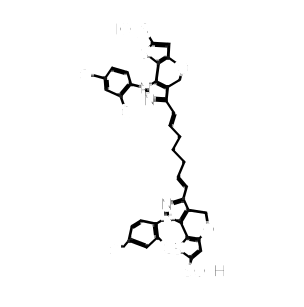 O=S(=O)(O)c1cc2c(s1)-c1c(c(/C=C/CCC/C=C/c3nn(-c4ccc(Cl)cc4Cl)c4c3COc3cc(S(=O)(=O)O)sc3-4)nn1-c1ccc(Cl)cc1Cl)CO2